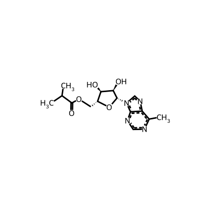 Cc1ncnc2c1ncn2[C@@H]1O[C@H](COC(=O)C(C)C)[C@@H](O)[C@H]1O